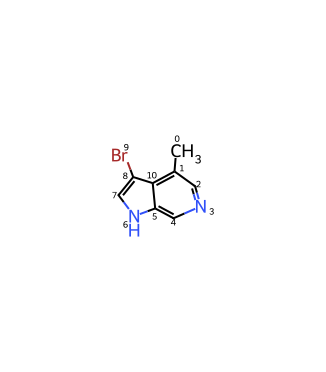 Cc1cncc2[nH]cc(Br)c12